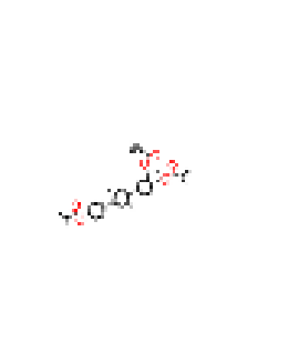 C=C(C)C(=O)Oc1ccc(-c2cc(C)c(-c3ccc4c(c3)C(OC(=O)C(C)C)CC4OC(=O)C(=C)C)cc2C)cc1